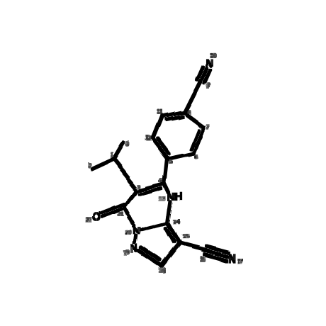 CC(C)c1c(-c2ccc(C#N)cc2)[nH]c2c(C#N)cnn2c1=O